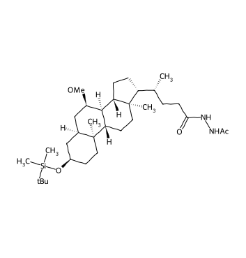 CO[C@@H]1C[C@@H]2C[C@H](O[Si](C)(C)C(C)(C)C)CC[C@]2(C)[C@H]2CC[C@]3(C)[C@@H]([C@H](C)CCC(=O)NNC(C)=O)CC[C@H]3[C@H]12